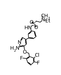 CCN(C)CCS(=O)(=O)Nc1cccc(-c2cnc(N)c(OCc3c(F)ccc(F)c3Cl)c2)c1